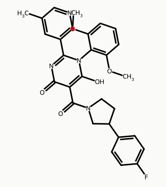 COc1cccc(OC)c1-n1c(-c2cncc(C)c2)nc(=O)c(C(=O)N2CCC(c3ccc(F)cc3)C2)c1O